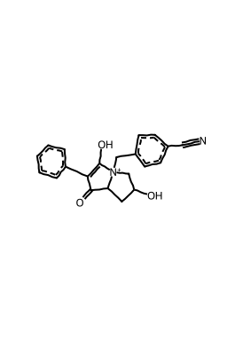 N#Cc1ccc(C[N+]23CC(O)CC2C(=O)C(c2ccccc2)=C3O)cc1